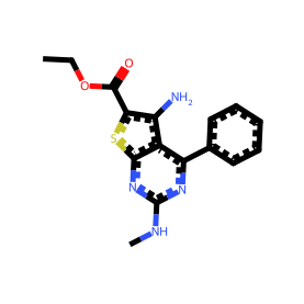 CCOC(=O)c1sc2nc(NC)nc(-c3ccccc3)c2c1N